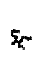 CCCCCCCC=C(C)C(=O)OCCCCCCCCCC